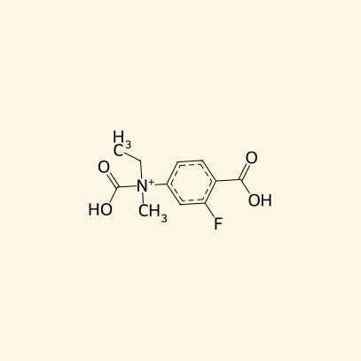 CC[N+](C)(C(=O)O)c1ccc(C(=O)O)c(F)c1